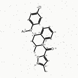 CC(=O)N(c1ccc(Cl)cc1)[C@H]1CC(C)N(C(=O)c2cc(C)no2)c2ccccc21